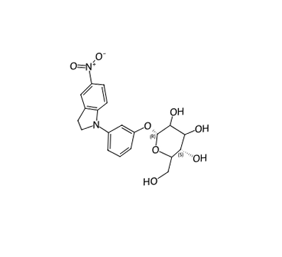 O=[N+]([O-])c1ccc2c(c1)CCN2c1cccc(O[C@H]2OC(CO)[C@@H](O)C(O)C2O)c1